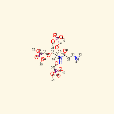 COP(=O)(COCC(COCP(=O)(OC)OC)(COCP(=O)(OC)OC)NC(=O)CCN(C)C)OC